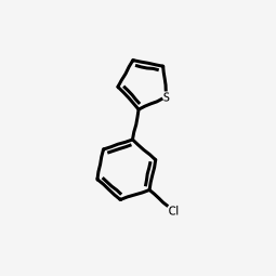 Clc1cccc(-c2cccs2)c1